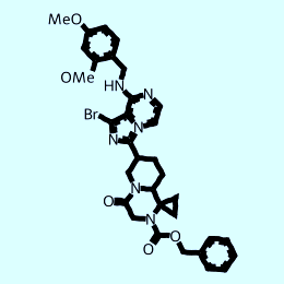 COc1ccc(CNc2nccn3c(C4CCC5N(C4)C(=O)CN(C(=O)OCc4ccccc4)C54CC4)nc(Br)c23)c(OC)c1